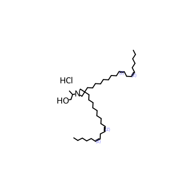 CCCCC/C=C\C/C=C\CCCCCCCCC1(CCCCCCCC/C=C\C/C=C\CCCCC)CN(C(C)CO)C1.Cl